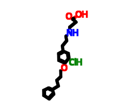 Cl.O=C(O)CCNCCCc1ccc(OCCCCc2ccccc2)cc1